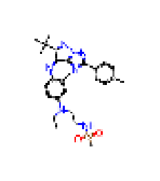 CCN(CCNS(C)(=O)=O)c1ccc(/N=C2/C(C(C)(C)C)=Nn3nc(-c4ccc(C)cc4)nc32)c(C)c1